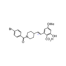 COc1cc(O)c(C(=O)O)c(/C=C/C2CCN(C(=O)c3ccc(Br)cc3)CC2)c1